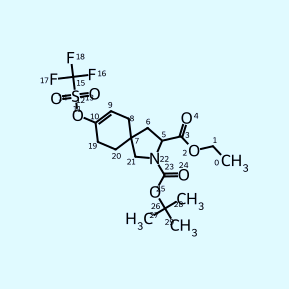 CCOC(=O)C1CC2(CC=C(OS(=O)(=O)C(F)(F)F)CC2)CN1C(=O)OC(C)(C)C